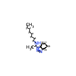 CCCCCCCCNC(C)n1nnc2ccccc21